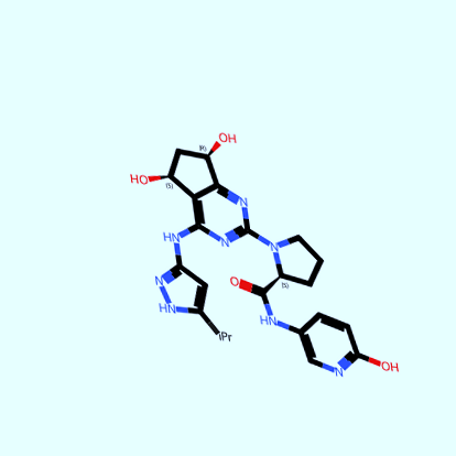 CC(C)c1cc(Nc2nc(N3CCC[C@H]3C(=O)Nc3ccc(O)nc3)nc3c2[C@@H](O)C[C@H]3O)n[nH]1